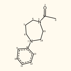 CC(=O)N1CCCN(c2ccccc2)CC1